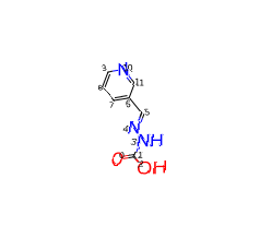 O=C(O)NN=Cc1cccnc1